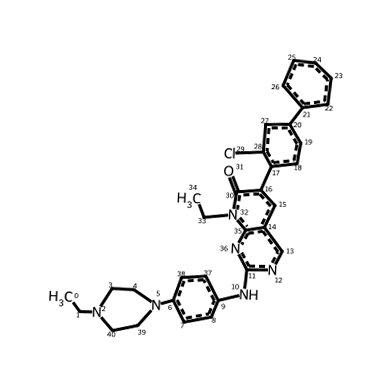 CCN1CCN(c2ccc(Nc3ncc4cc(-c5ccc(-c6ccccc6)cc5Cl)c(=O)n(CC)c4n3)cc2)CC1